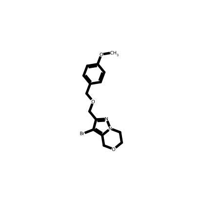 COc1ccc(COCc2nn3c(c2Br)COCC3)cc1